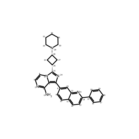 Nc1nccn2c1c(-c1ccc3ccc(-c4ccccc4)nc3c1)nc2[C@H]1C[C@@H](N2CCCCC2)C1